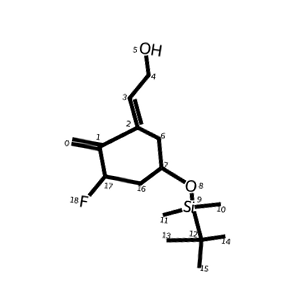 C=C1C(=CCO)CC(O[Si](C)(C)C(C)(C)C)CC1F